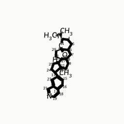 CN(C)C1CCC2CC3CC[C@]4(C)C(c5ccc6ccncc6c5)CC[C@H]4[C@@]34CC[C@]2(C1)O4